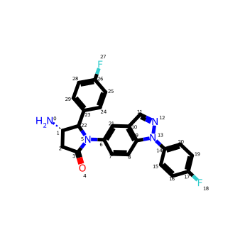 N[C@H]1CC(=O)N(c2ccc3c(cnn3-c3ccc(F)cc3)c2)C1c1ccc(F)cc1